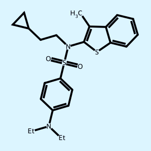 CCN(CC)c1ccc(S(=O)(=O)N(CCC2CC2)c2sc3ccccc3c2C)cc1